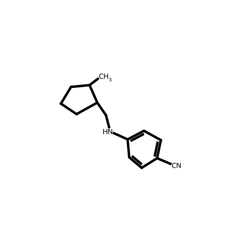 CC1CCCC1CNc1ccc(C#N)cc1